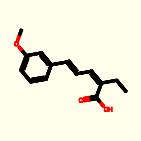 CCC(=CC=Cc1cccc(OC)c1)C(=O)O